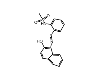 CS(=O)(=O)Nc1ccccc1N=Nc1c(O)ccc2ccccc12